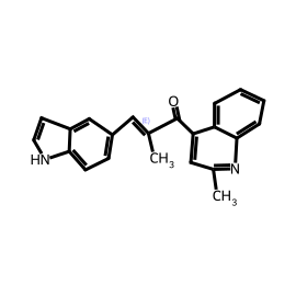 C/C(=C\c1ccc2[nH]ccc2c1)C(=O)c1cc(C)nc2ccccc12